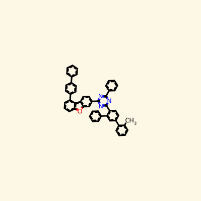 Cc1ccccc1-c1ccc(-c2nc(-c3ccccc3)nc(-c3ccc4c(c3)oc3cccc(-c5ccc(-c6ccccc6)cc5)c34)n2)c(-c2ccccc2)c1